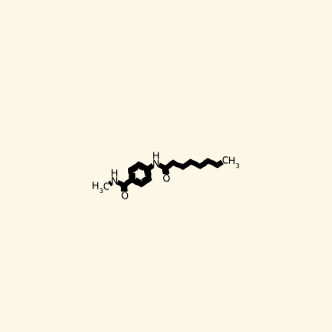 CCCCCCCC(=O)Nc1ccc(C(=O)NC)cc1